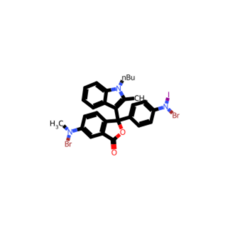 CCCCn1c(C)c(C2(c3ccc(N(Br)I)cc3)OC(=O)c3cc(N(C)Br)ccc32)c2ccccc21